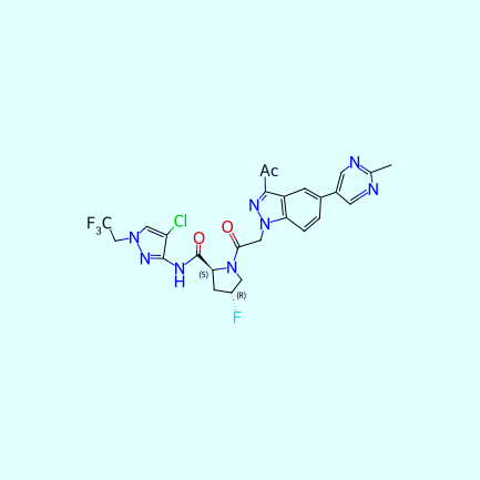 CC(=O)c1nn(CC(=O)N2C[C@H](F)C[C@H]2C(=O)Nc2nn(CC(F)(F)F)cc2Cl)c2ccc(-c3cnc(C)nc3)cc12